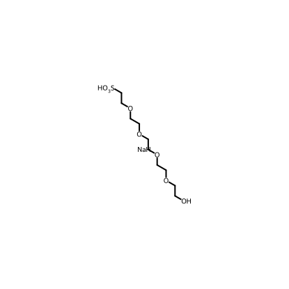 O=S(=O)(O)CCOCCOCCOCCOCCO.[NaH]